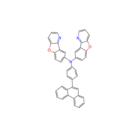 c1ccc2c(c1)cc(-c1ccc(N(c3ccc4oc5cccnc5c4c3)c3ccc4oc5cccnc5c4c3)cc1)c1ccccc12